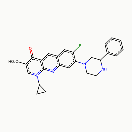 O=C(O)c1cn(C2CC2)c2nc3cc(N4CCNC(c5ccccc5)C4)c(F)cc3cc2c1=O